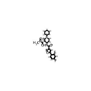 CN(C)C(=O)[C@@H]1CN(C2CCCCC2)CC[C@H]1NC(=O)c1cc(-c2ccc(F)cc2F)on1